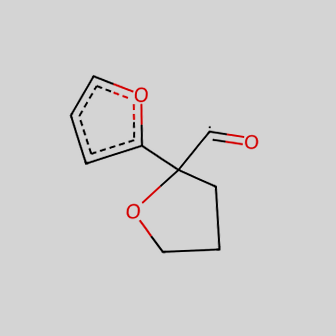 O=[C]C1(c2ccco2)CCCO1